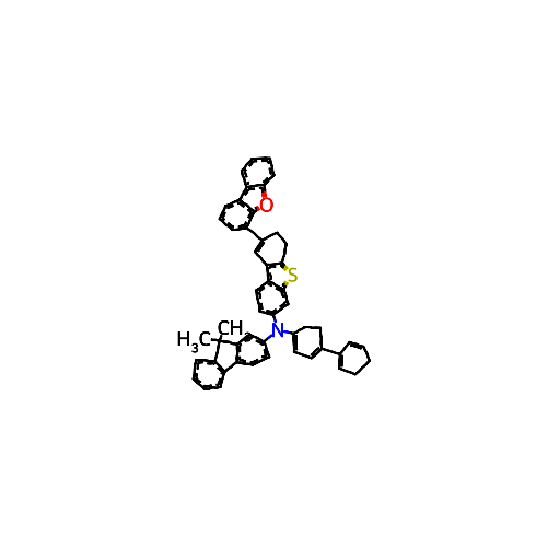 CC1(C)c2ccccc2-c2ccc(N(C3=CC=C(C4=CCCC=C4)CC3)c3ccc4c5c(sc4c3)CCC(c3cccc4c3oc3ccccc34)=C5)cc21